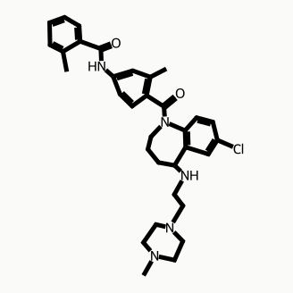 Cc1ccccc1C(=O)Nc1ccc(C(=O)N2CCCC(NCCN3CCN(C)CC3)c3cc(Cl)ccc32)c(C)c1